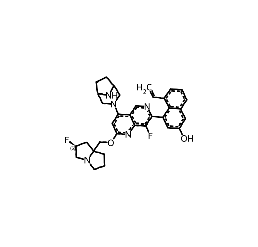 C=Cc1cccc2cc(O)cc(-c3ncc4c(N5CC6CCC(C5)N6)cc(OCC56CCCN5C[C@@H](F)C6)nc4c3F)c12